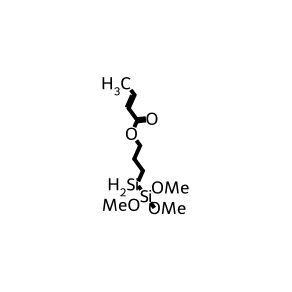 CC=CC(=O)OCCC[SiH2][Si](OC)(OC)OC